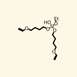 C=COCCCCO[Si](O)(OCC)OCCCCOC=C